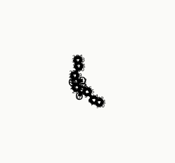 O=c1c2cc(-c3ccc4ccccc4c3)ccc2oc2c1ccc1oc3ccc(-c4ccc5ccccc5c4)cc3c(=O)c12